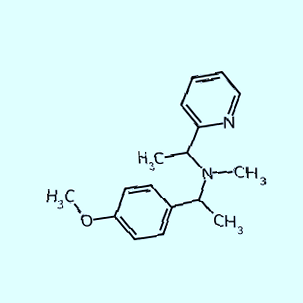 COc1ccc(C(C)N(C)C(C)c2ccccn2)cc1